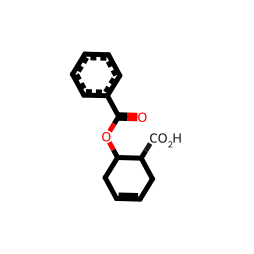 O=C(OC1CC=CCC1C(=O)O)c1ccccc1